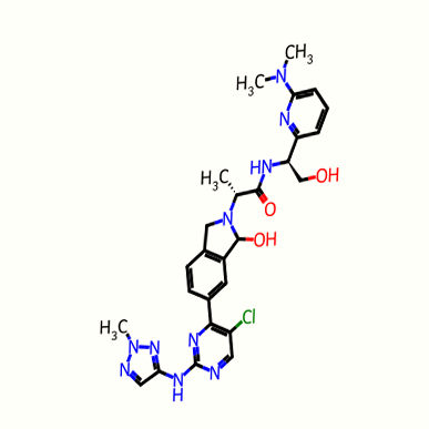 C[C@H](C(=O)N[C@H](CO)c1cccc(N(C)C)n1)N1Cc2ccc(-c3nc(Nc4cnn(C)n4)ncc3Cl)cc2C1O